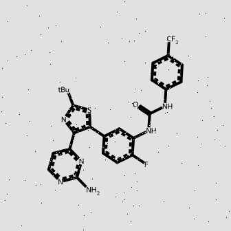 CC(C)(C)c1nc(-c2ccnc(N)n2)c(-c2ccc(F)c(NC(=O)Nc3ccc(C(F)(F)F)cc3)c2)s1